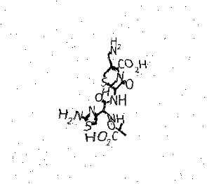 CC(C)(ONC(C(=O)NC1C(=O)N2C(C(=O)O)=C(CN)CS[C@@H]12)c1csc(N)n1)C(=O)O